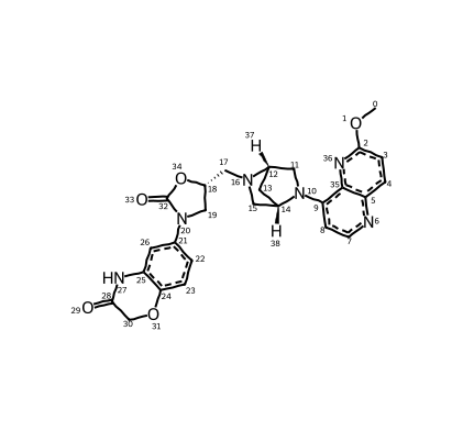 COc1ccc2nccc(N3C[C@@H]4C[C@H]3CN4C[C@@H]3CN(c4ccc5c(c4)NC(=O)CO5)C(=O)O3)c2n1